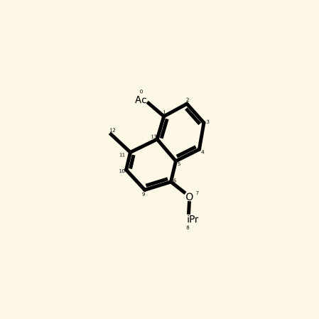 CC(=O)c1cccc2c(OC(C)C)ccc(C)c12